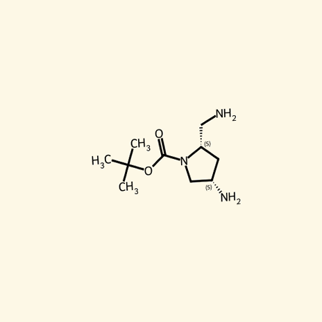 CC(C)(C)OC(=O)N1C[C@@H](N)C[C@H]1CN